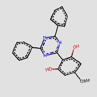 COc1cc(O)c(-c2nc(-c3ccccc3)nc(-c3ccccc3)n2)c(O)c1